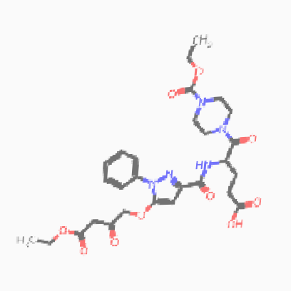 CCOC(=O)CC(=O)COc1cc(C(=O)NC(CCC(=O)O)C(=O)N2CCN(C(=O)OCC)CC2)nn1-c1ccccc1